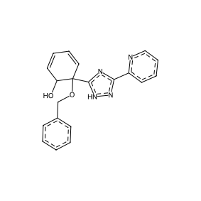 OC1C=CC=CC1(OCc1ccccc1)c1nc(-c2ccccn2)n[nH]1